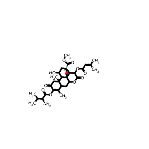 COC(=O)[C@@]12CC(O)C3C4(C)CC(=O)C(OC(=O)C(N)C(C)C)=C(C)C4CC4OC(=O)C(OC(=O)C=C(C)C)C1C43CO2